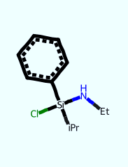 CCN[Si](Cl)(c1ccccc1)C(C)C